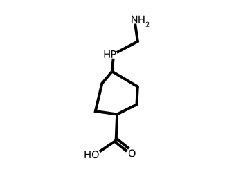 NCPC1CCC(C(=O)O)CC1